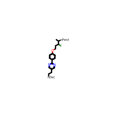 CCCCCCCCCCCCc1cnc(-c2ccc(OCCC(F)C(C)CCCCC)cc2)nc1